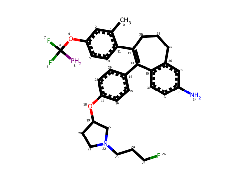 Cc1cc(OC(F)(F)P)ccc1C1=C(c2ccc(OC3CCN(CCCF)C3)cc2)c2ccc(N)cc2CCC1